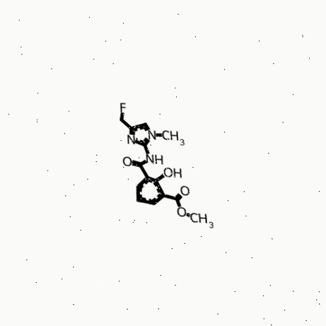 COC(=O)c1cccc(C(=O)Nc2nc(CF)cn2C)c1O